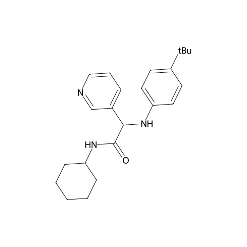 CC(C)(C)c1ccc(NC(C(=O)NC2CCCCC2)c2cccnc2)cc1